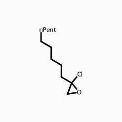 CCCCCCCCCCC1(Cl)CO1